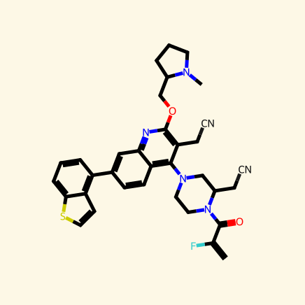 C=C(F)C(=O)N1CCN(c2c(CC#N)c(OCC3CCCN3C)nc3cc(-c4cccc5sccc45)ccc23)CC1CC#N